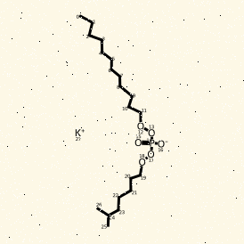 CCCCCCCCCCCCOOP(=O)([O-])OOCCCCCC(C)C.[K+]